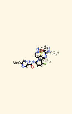 COc1cnc(C(=O)Nc2ccc(F)c([C@@]3(C)N=C(NC(=O)O)C(C)(C)S4(O)NCCC[C@H]34)n2)cn1